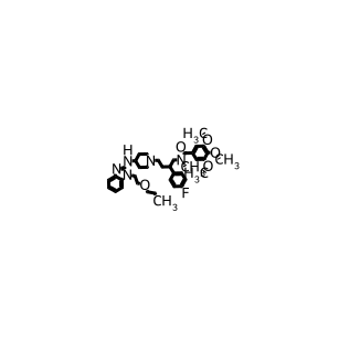 CCCOCCn1c(NC2CCN(CCC(CN(C)C(=O)c3cc(OC)c(OC)c(OC)c3)c3ccc(F)cc3)CC2)nc2ccccc21